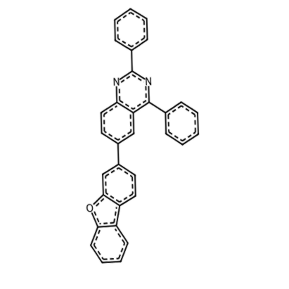 c1ccc(-c2nc(-c3ccccc3)c3cc(-c4ccc5c(c4)oc4ccccc45)ccc3n2)cc1